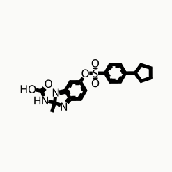 CC1(NC(=O)O)N=c2ccc(OS(=O)(=O)c3ccc(C4CCCC4)cc3)cc2=N1